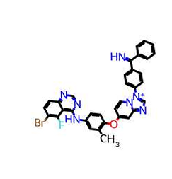 Cc1cc(Nc2ncnc3ccc(Br)c(F)c23)ccc1Oc1ccn2c(c1)nc[n+]2-c1ccc(C(=N)c2ccccc2)cc1